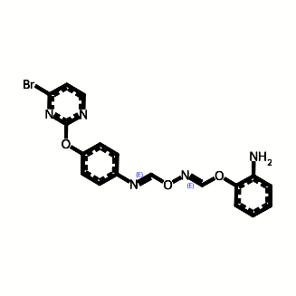 Nc1ccccc1O/C=N/O/C=N/c1ccc(Oc2nccc(Br)n2)cc1